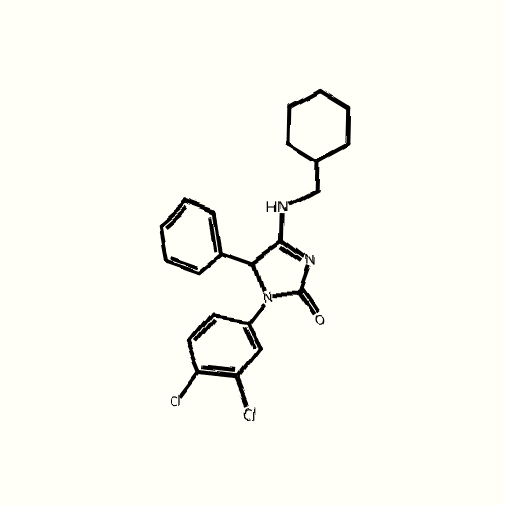 O=C1N=C(NCC2CCCCC2)C(c2ccccc2)N1c1ccc(Cl)c(Cl)c1